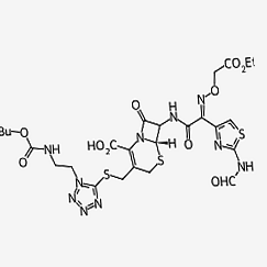 CCOC(=O)CON=C(C(=O)NC1C(=O)N2C(C(=O)O)=C(CSc3nnnn3CCNC(=O)OC(C)(C)C)CS[C@@H]12)c1csc(NC=O)n1